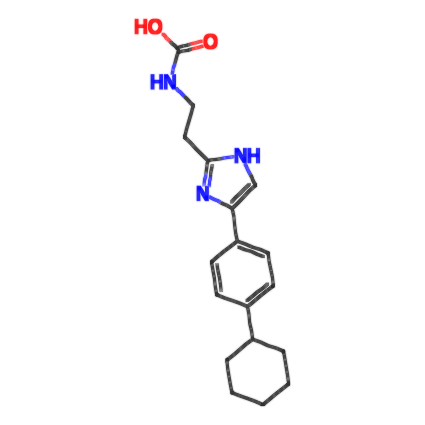 O=C(O)NCCc1nc(-c2ccc(C3CCCCC3)cc2)c[nH]1